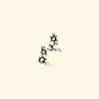 CC[C@H]1C[C@@H](c2ccnc(C)c2)C[C@H]1CC[C@@H](C)C(=O)Nc1ccc(Cl)cc1